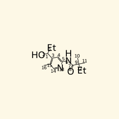 CCC(O)c1cc(NC(=O)C(C)(C)CC)ncc1C